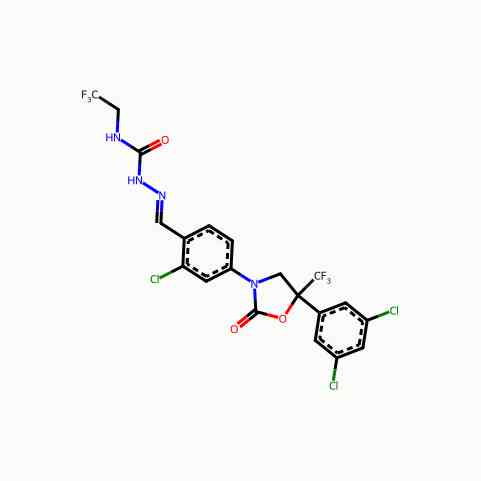 O=C(NCC(F)(F)F)NN=Cc1ccc(N2CC(c3cc(Cl)cc(Cl)c3)(C(F)(F)F)OC2=O)cc1Cl